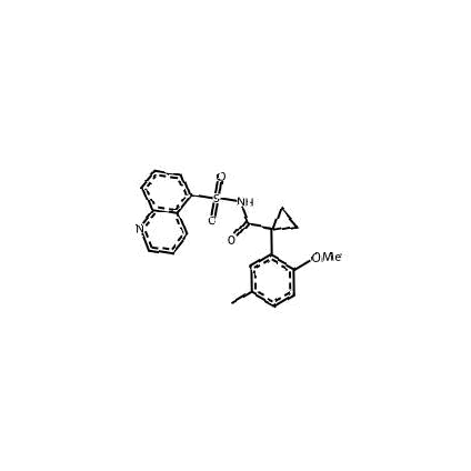 COc1ccc(C)cc1C1(C(=O)NS(=O)(=O)c2cccc3ncccc23)CC1